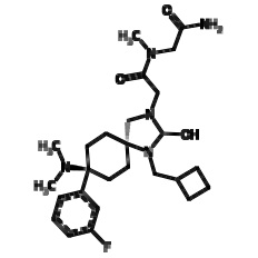 CN(CC(N)=O)C(=O)CN1C[C@]2(CC[C@](c3cccc(F)c3)(N(C)C)CC2)N(CC2CCC2)C1O